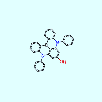 Oc1cc2c3c(c1)N(c1ccccc1)c1ccccc1B3c1ccccc1N2c1ccccc1